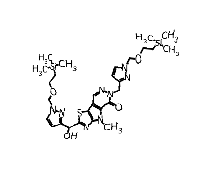 Cn1c2nc(C(O)c3ccn(COCC[Si](C)(C)C)n3)sc2c2cnn(Cc3ccn(COCC[Si](C)(C)C)n3)c(=O)c21